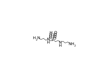 NCCCNCCCCNCCCN.O.O.O.O